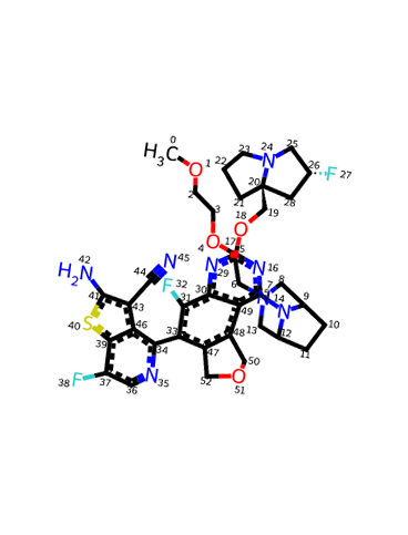 COCCOCCN1CC2CCC(C1)N2c1nc(OC[C@@]23CCCN2C[C@H](F)C3)nc2c(F)c(-c3ncc(F)c4sc(N)c(C#N)c34)c3c(c12)COC3